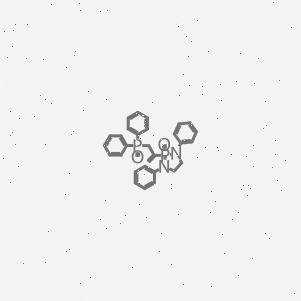 C=C(CP(=O)(c1ccccc1)c1ccccc1)P1(=O)N(c2ccccc2)CCN1c1ccccc1